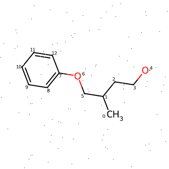 CC(CC[O])COc1ccccc1